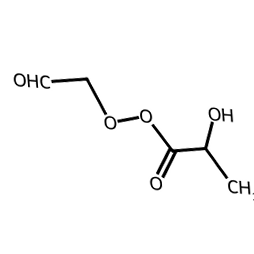 CC(O)C(=O)OOCC=O